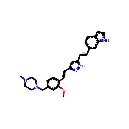 COc1cc(CN2CCN(C)CC2)ccc1/C=C/c1cc(/C=C/c2ccc3cc[nH]c3c2)[nH]n1